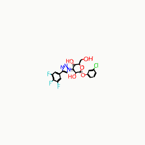 OCC1O[C@H](Oc2cccc(Cl)c2)C(O)[C@@H](n2cc(-c3cc(F)c(F)c(F)c3)nn2)[C@H]1O